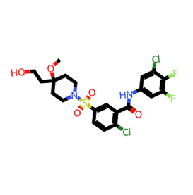 COC1(CCO)CCN(S(=O)(=O)c2ccc(Cl)c(C(=O)Nc3cc(F)c(F)c(Cl)c3)c2)CC1